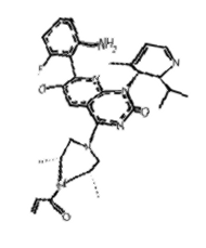 C=CC(=O)N1[C@H](C)CN(c2nc(=O)n([C@H]3C(C)=CC=N[C@H]3C(C)C)c3nc(-c4c(N)cccc4F)c(Cl)cc23)C[C@@H]1C